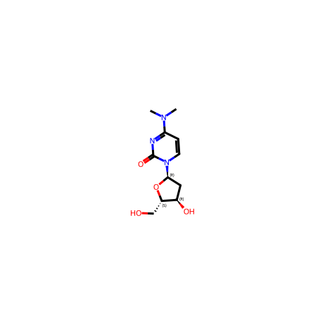 CN(C)c1ccn([C@H]2C[C@@H](O)[C@H](CO)O2)c(=O)n1